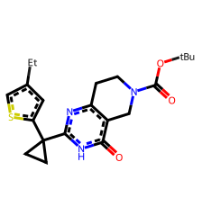 CCc1csc(C2(c3nc4c(c(=O)[nH]3)CN(C(=O)OC(C)(C)C)CC4)CC2)c1